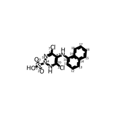 O=S(=O)(O)N1N=C(Cl)C(Nc2cccc3ccccc23)=C(Cl)N1